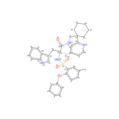 Cc1ccc(Oc2ccccc2)c(S(=O)(=O)N[C@@](C)(Cc2c[nH]c3ccccc23)C(=O)NCC2(c3ccccn3)CCCCC2)c1